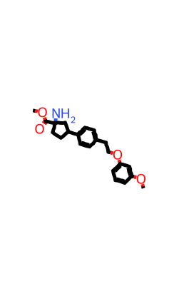 COC(=O)C1(N)CCC(c2ccc(CCOc3cccc(OC)c3)cc2)C1